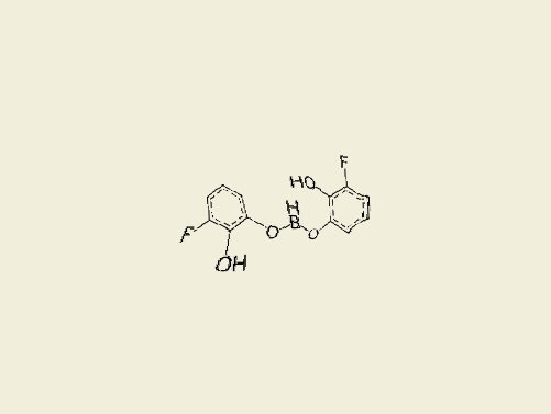 Oc1c(F)cccc1OBOc1cccc(F)c1O